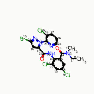 CCN(C)C(=O)c1cc(Cl)cc(Cl)c1NC(=O)c1cc(Br)nn1-c1ncccc1Cl